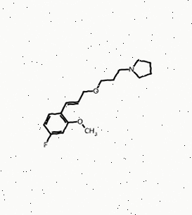 COc1cc(F)ccc1/C=C/COCCCN1CCCC1